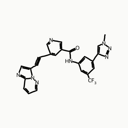 Cn1cc(-c2cc(NC(=O)c3cncc(C#Cc4cnc5cccnn45)c3)cc(C(F)(F)F)c2)nn1